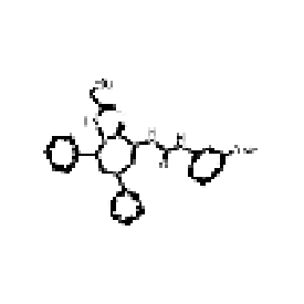 COc1cccc(NC(=O)NC2CC(c3ccccc3)CC(c3ccccc3)N(NC(=O)CC(C)(C)C)C2=O)c1